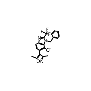 COc1c(-c2c(C)noc2C)ccc2nc(C(F)(F)F)n(Cc3ccccc3)c12